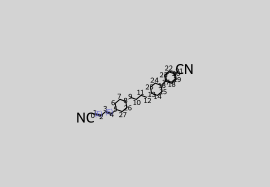 N#C/C=C/C=C/[C@H]1CC[C@H](CCCC[C@H]2CC[C@H](c3ccc(C#N)cc3)CC2)CC1